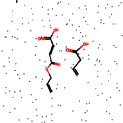 C=CCC(=O)O.C=CCOC(=O)C=CC(=O)O